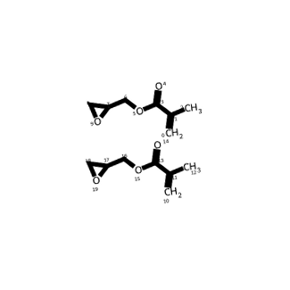 C=C(C)C(=O)OCC1CO1.C=C(C)C(=O)OCC1CO1